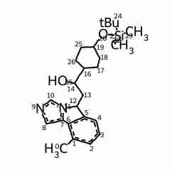 Cc1cccc2c1-c1cncn1C2CC(O)C1CCC(O[Si](C)(C)C(C)(C)C)CC1